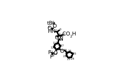 CC(NC(=O)OC(C)(C)C)c1oc(-c2ccc(OC(F)F)c(OCc3ccccc3)c2)nc1C(=O)O